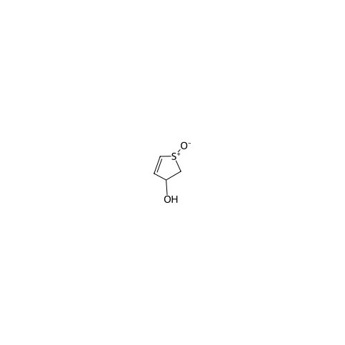 [O-][S+]1C=CC(O)C1